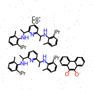 Cc1cccc(C(C)C)c1NC(C)c1cccc(C(C)Nc2c(C)cccc2C(C)C)n1.Cc1cccc(C(C)C)c1NC(C)c1cccc(C(C)Nc2c(C)cccc2C(C)C)n1.[Co+].[Co+].[O-]c1c([O-])c2ccccc2c2ccccc12